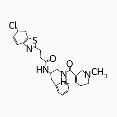 CN1CCC=C(C(=O)NCC(Cc2ccccc2)NC(=O)CCc2nc3c(s2)CC(Cl)C=C3)C1